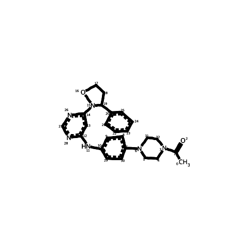 CC(=O)N1CCN(c2ccc(Nc3cc(N4OCCC4c4ccccc4)ncn3)cc2)CC1